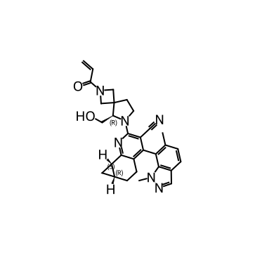 C=CC(=O)N1CC2(CCN(c3nc4c(c(-c5c(C)ccc6cnn(C)c56)c3C#N)CC[C@@H]3C[C@H]43)[C@H]2CO)C1